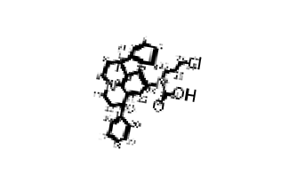 C[C@@]1(c2ccccc2)CCN2CC[C@](C)(c3ccccc3)c3cc(N(CCCCl)C(=O)O)cc1c32